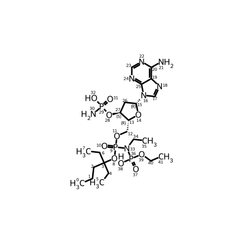 CCCC(CC)(CC)OP(=O)(OC[C@H]1O[C@@H](n2cnc3c(N)ncnc32)C[C@@H]1OP(N)(=O)O)N(CC)P(=O)(O)OCC